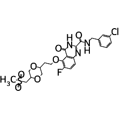 CS(=O)(=O)CC1COC(CCOc2c(F)ccc3nc(C(=O)NCc4cccc(Cl)c4)[nH]c(=O)c23)CO1